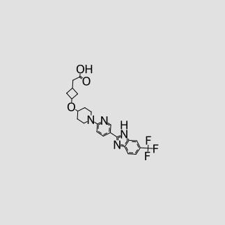 O=C(O)CC1CC(OC2CCN(c3ccc(-c4nc5ccc(C(F)(F)F)cc5[nH]4)cn3)CC2)C1